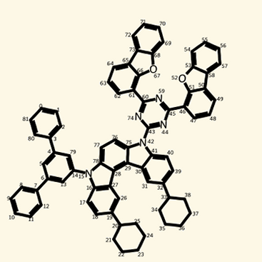 c1ccc(-c2cc(-c3ccccc3)cc(-n3c4ccc(C5CCCCC5)cc4c4c5c6cc(C7CCCCC7)ccc6n(-c6nc(-c7cccc8c7oc7ccccc78)nc(-c7cccc8c7oc7ccccc78)n6)c5ccc43)c2)cc1